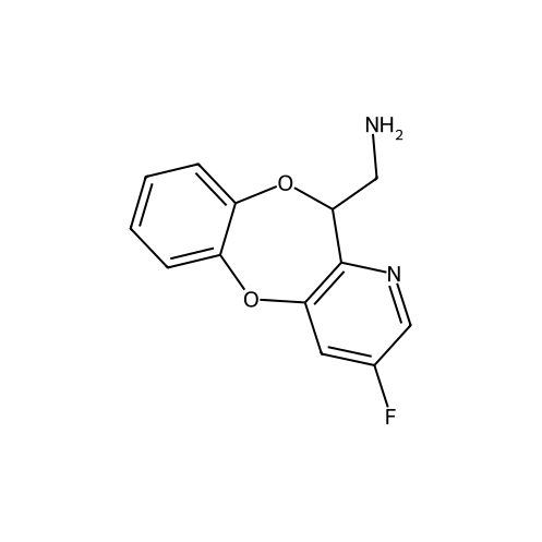 NCC1Oc2ccccc2Oc2cc(F)cnc21